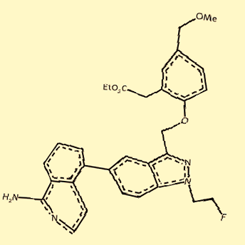 CCOC(=O)Cc1cc(COC)ccc1OCc1nn(CCF)c2ccc(-c3cccc4c(N)nccc34)cc12